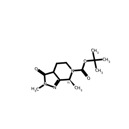 C[C@H]1C2=NN(C)C(=O)C2CCN1C(=O)OC(C)(C)C